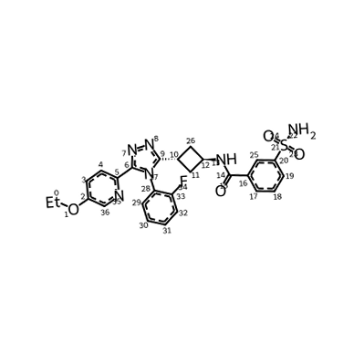 CCOc1ccc(-c2nnc([C@H]3C[C@H](NC(=O)c4cccc(S(N)(=O)=O)c4)C3)n2-c2ccccc2F)nc1